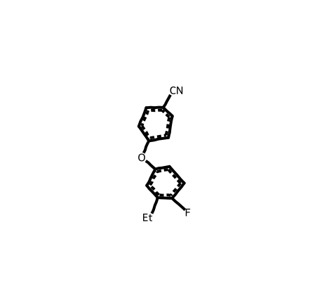 CCc1cc(Oc2ccc(C#N)cc2)ccc1F